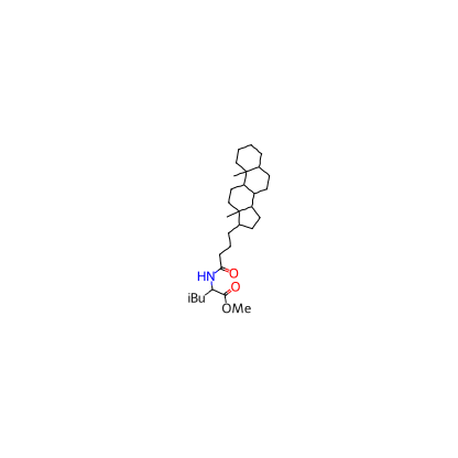 CCC(C)C(NC(=O)CCCC1CCC2C3CCC4CCCCC4(C)C3CCC12C)C(=O)OC